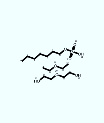 CCCCCCCOS(=O)(=O)O.CCOCC.OCCOCCO